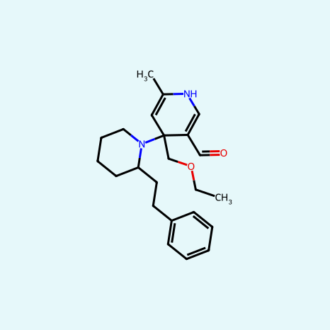 CCOCC1(N2CCCCC2CCc2ccccc2)C=C(C)NC=C1C=O